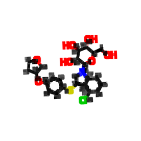 OC[C@H]1O[C@@H](n2cc(Sc3ccc(OC4CCOC4)cc3)c3c(Cl)cccc32)[C@H](O)[C@@H](O)[C@@H]1O